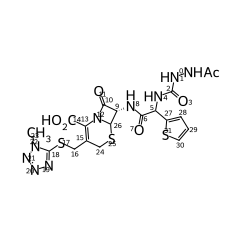 CC(=O)NNC(=O)NC(C(=O)N[C@H]1C(=O)N2C(C(=O)O)=C(CSc3nnnn3C)CSC12)c1cccs1